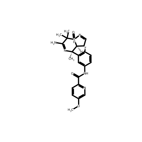 COc1ccc(C(=O)Nc2ccc(F)c([C@@]3(C)N=C(N)C(C)(C)[SH]4(=O)N=CC[C@@H]34)c2)nc1